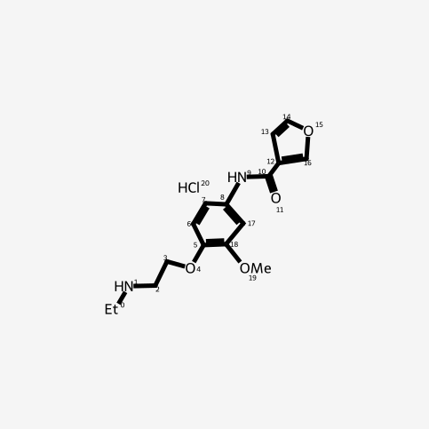 CCNCCOc1ccc(NC(=O)c2ccoc2)cc1OC.Cl